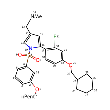 CCCCCOc1cccc(S(=O)(=O)n2cc(CNC)cc2-c2ccc(OCC3CCCCC3)cc2F)c1